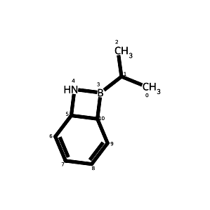 CC(C)B1NC2C=CC=CC12